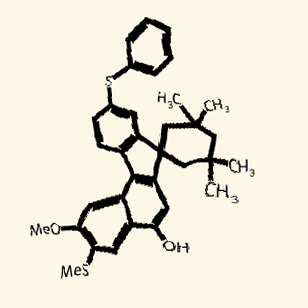 COc1cc2c3c(cc(O)c2cc1SC)C1(CC(C)(C)CC(C)(C)C1)c1cc(Sc2ccccc2)ccc1-3